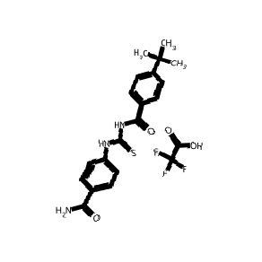 CC(C)(C)c1ccc(C(=O)NC(=S)Nc2ccc(C(N)=O)cc2)cc1.O=C(O)C(F)(F)F